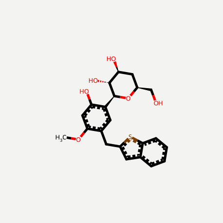 COc1cc(O)c([C@@H]2O[C@H](CO)C[C@H](O)[C@H]2O)cc1Cc1cc2ccccc2s1